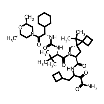 C[C@H]1CN(C(=O)[C@@H](NC(=O)N[C@H](C(=O)N2C[C@]3(C[C@H]2C(=O)NC(CC2CCC2)C(=O)C(N)=O)C(C)(C)C32CCC2)C(C)(C)C)C2CCCCC2)C[C@H](C)O1